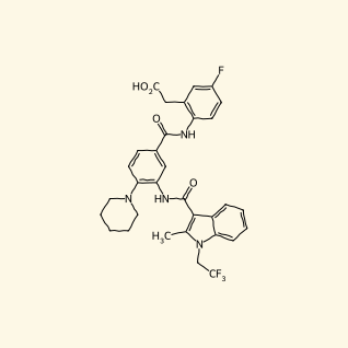 Cc1c(C(=O)Nc2cc(C(=O)Nc3ccc(F)cc3CC(=O)O)ccc2N2CCCCC2)c2ccccc2n1CC(F)(F)F